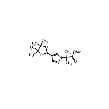 COC(=O)C(C)(C)n1cc(B2OC(C)(C)C(C)(C)O2)cn1